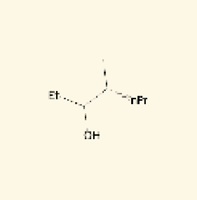 CCC[C@@H](C)C(O)CC